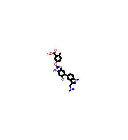 Cc1ccc(Oc2nc3cc(-c4ccc5c(c4)c(CN(C)C)cn5C)c(Cl)cc3[nH]2)cc1C(=O)O